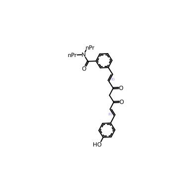 CCCN(CCC)C(=O)c1cccc(/C=C/C(=O)CC(=O)/C=C/c2ccc(O)cc2)c1